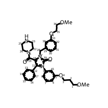 COCCCOc1cccc(-n2c(-c3ccccc3)c(C(=O)N3CCNCC3)n(Cc3cccc(OCCOC)c3)c2=O)c1